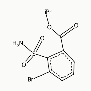 CC(C)OC(=O)c1cccc(Br)c1S(N)(=O)=O